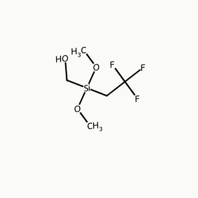 CO[Si](CO)(CC(F)(F)F)OC